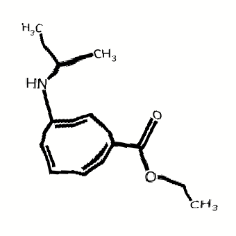 CCOC(=O)c1cccc(NC(C)C)c1